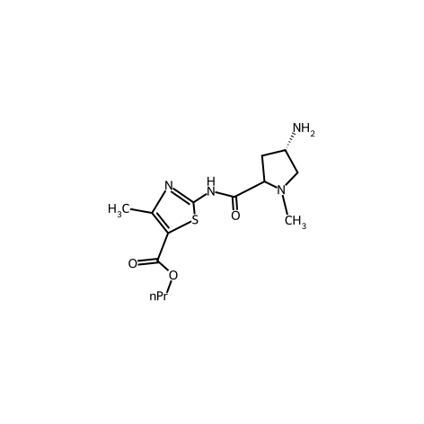 CCCOC(=O)c1sc(NC(=O)C2C[C@H](N)CN2C)nc1C